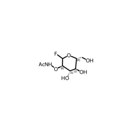 CC(=O)NO[C@H]1C(F)O[C@H](CO)[C@@H](O)[C@@H]1O